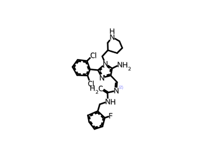 C=C(/N=C\c1nc(-c2c(Cl)cccc2Cl)n(CC2CCCNC2)c1N)NCc1ccccc1F